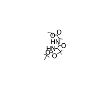 CCOC(=O)C(C)NC(=O)C(NC(=O)OC(C)(C)C)C(C)(C)C